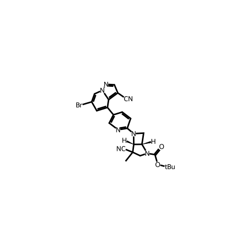 CC(C)(C)OC(=O)N1CC(C)(C#N)[C@H]2[C@@H]1CN2c1ccc(-c2cc(Br)cn3ncc(C#N)c23)cn1